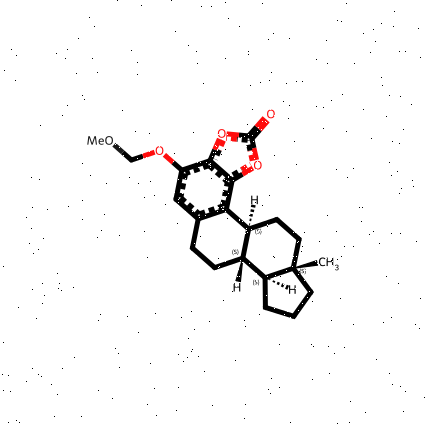 COCOc1cc2c(c3oc(=O)oc13)[C@H]1CC[C@]3(C)CCC[C@H]3[C@@H]1CC2